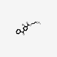 CCCCOC(=O)c1ccc(C(=O)c2ccccc2)cc1Br